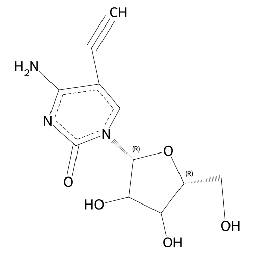 C#Cc1cn([C@@H]2O[C@H](CO)C(O)C2O)c(=O)nc1N